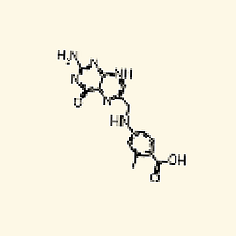 Cc1cc(NCc2c[nH]c3nc(N)nc(=O)c-3n2)ccc1C(=O)O